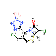 Bn1nnc([C@H]2C(CCl)=CS[C@@H]3C(Cl)C(=O)N23)n1